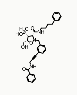 C[C@@H](O)[C@H]1[C@@H](CO)ON(Cc2cccc(C#CCNC(=O)c3ccccc3)c2)[C@H]1C(=O)NCCCCc1ccccc1